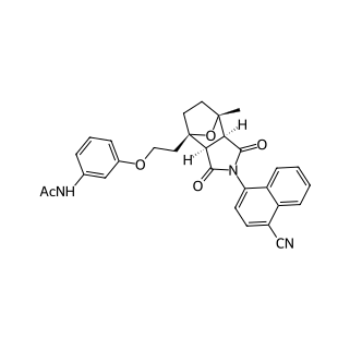 CC(=O)Nc1cccc(OCC[C@@]23CC[C@@](C)(O2)[C@H]2C(=O)N(c4ccc(C#N)c5ccccc45)C(=O)[C@H]23)c1